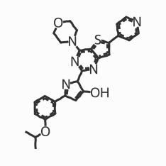 CC(C)Oc1cccc(C2=NC(c3nc(N4CCOCC4)c4sc(-c5ccncc5)cc4n3)C(O)=C2)c1